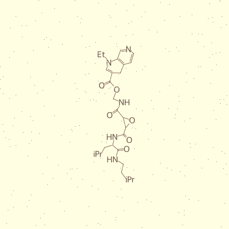 CCN1C=C(C(=O)OCNC(=O)C2OC2C(=O)NC(CC(C)C)C(=O)NCCC(C)C)Cc2ccncc21